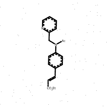 CCOC(=O)C=Cc1ccc(N(Cc2ccccn2)C(C)=O)cc1